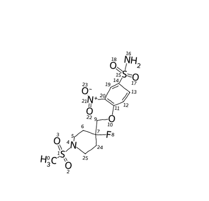 CS(=O)(=O)N1CCC(F)(COc2ccc(S(N)(=O)=O)cc2[N+](=O)[O-])CC1